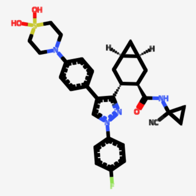 N#CC1(NC(=O)[C@@H]2C[C@@H]3C[C@@H]3C[C@H]2c2nn(-c3ccc(F)cc3)cc2-c2ccc(N3CCS(O)(O)CC3)cc2)CC1